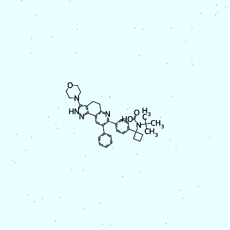 CC(C)(C)N(C(=O)O)C1(c2ccc(-c3nc4c(cc3-c3ccccc3)-c3n[nH]c(N5CCOCC5)c3CC4)cc2)CCC1